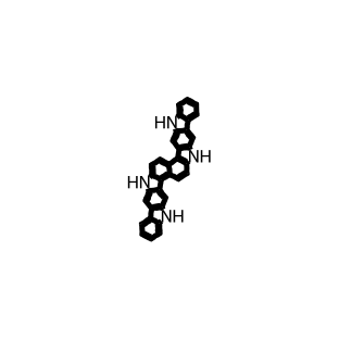 c1ccc2c(c1)[nH]c1cc3c(cc12)[nH]c1ccc2c(ccc4[nH]c5cc6c(cc5c42)[nH]c2ccccc26)c13